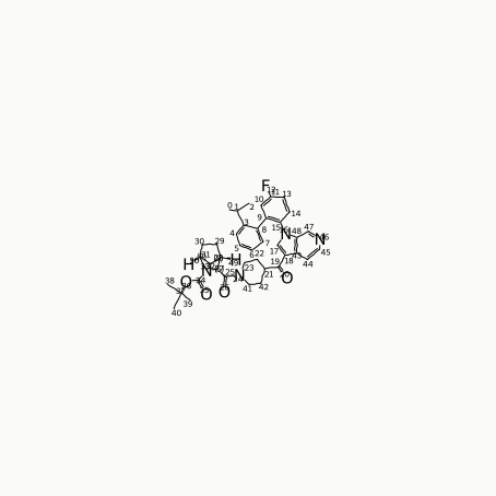 CC(C)c1ccccc1-c1cc(F)ccc1-n1cc(C(=O)C2CCN(C(=O)[C@@H]3[C@H]4CC[C@H](C4)N3C(=O)OC(C)(C)C)CC2)c2ccncc21